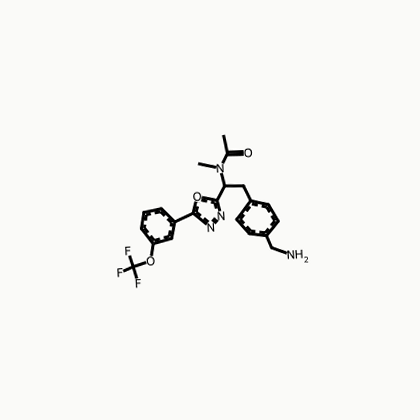 CC(=O)N(C)C(Cc1ccc(CN)cc1)c1nnc(-c2cccc(OC(F)(F)F)c2)o1